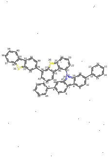 c1ccc(-c2ccc3c4ccc(-c5ccccc5)cc4n(-c4cccc5sc6c(-c7ccc8c(c7)sc7ccccc78)cccc6c45)c3c2)cc1